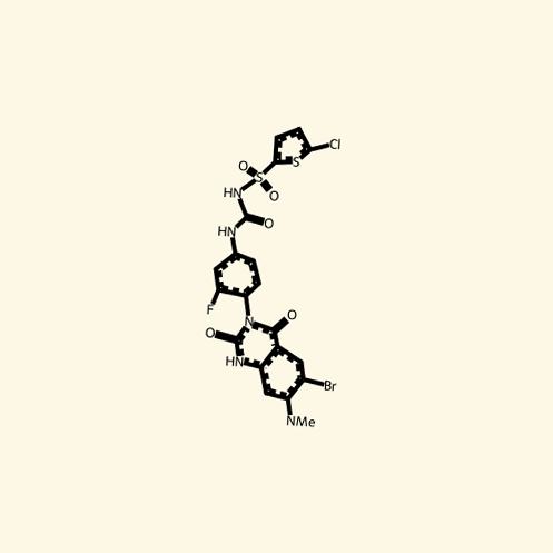 CNc1cc2[nH]c(=O)n(-c3ccc(NC(=O)NS(=O)(=O)c4ccc(Cl)s4)cc3F)c(=O)c2cc1Br